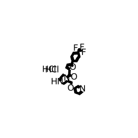 Cl.Cl.O=C(c1ccc(-c2ccc(C(F)(F)F)cc2)o1)N1CCNCC1COc1cccnc1